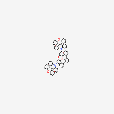 c1ccc(-c2cccc(-c3ccccc3)c2B2c3ccc(N4c5ccccc5C5(c6ccccc6Oc6ccccc65)c5ccccc54)cc3Oc3cc(N4c5ccccc5C5(c6ccccc6Oc6ccccc65)c5ccccc54)ccc32)cc1